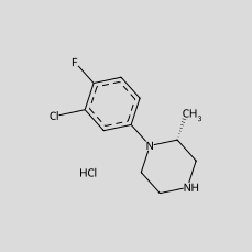 C[C@@H]1CNCCN1c1ccc(F)c(Cl)c1.Cl